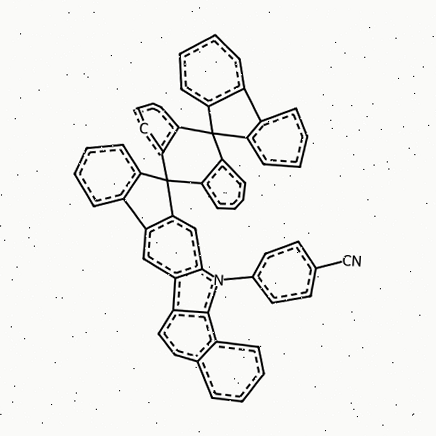 N#Cc1ccc(-n2c3cc4c(cc3c3ccc5ccccc5c32)-c2ccccc2C42c3ccccc3C3(c4ccccc4-c4ccccc43)c3ccccc32)cc1